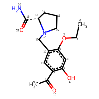 CCOc1cc(O)c(C(C)=O)cc1CN1CCC[C@H]1C(N)=O